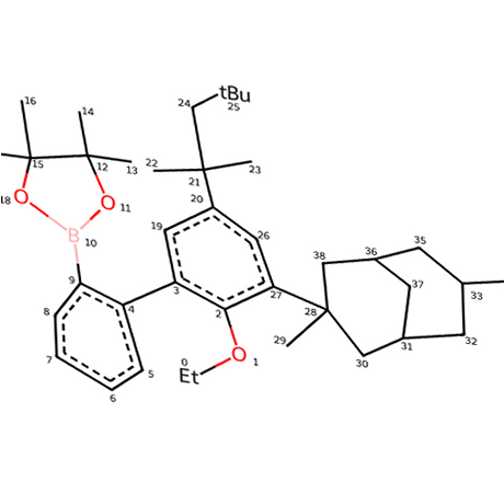 CCOc1c(-c2ccccc2B2OC(C)(C)C(C)(C)O2)cc(C(C)(C)CC(C)(C)C)cc1C1(C)CC2CC(C)CC(C2)C1